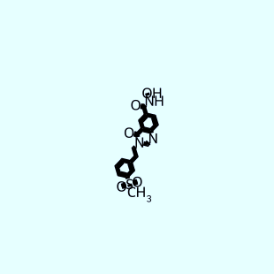 CS(=O)(=O)c1cccc(CCn2cnc3ccc(C(=O)NO)cc3c2=O)c1